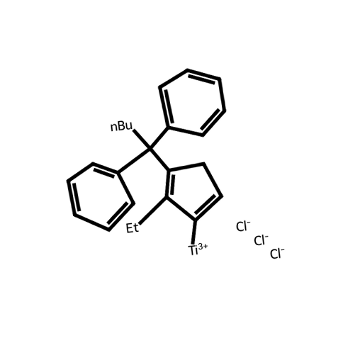 CCCCC(C1=C(CC)[C]([Ti+3])=CC1)(c1ccccc1)c1ccccc1.[Cl-].[Cl-].[Cl-]